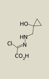 O=C(O)/C(Cl)=N/NCC1(O)CC1